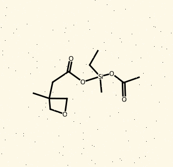 CC[Si](C)(OC(C)=O)OC(=O)CC1(C)COC1